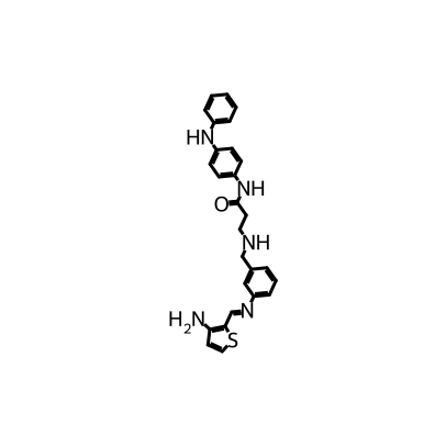 Nc1ccsc1C=Nc1cccc(CNCCC(=O)Nc2ccc(Nc3ccccc3)cc2)c1